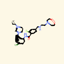 O=C(Nc1ccc(Cl)cc1N1CCN(CCC(F)(F)F)CC1)c1ccc(CNCCN2CCOCC2)cc1F